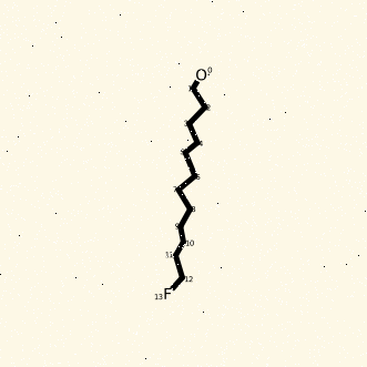 [O]CCCCCCCCCCCCF